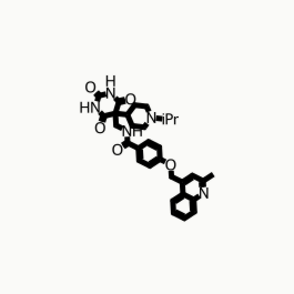 Cc1cc(COc2ccc(C(=O)NCC3(C4CCN(C(C)C)CC4)C(=O)NC(=O)NC3=O)cc2)c2ccccc2n1